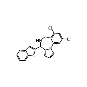 Clc1cc(Cl)c2c(c1)-n1cccc1C(c1cc3ccccc3s1)NC2